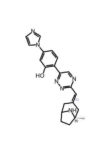 C[C@@]12CCC(C/C(=C\c3ncc(-c4ccc(-n5ccnc5)cc4O)nn3)C1)N2